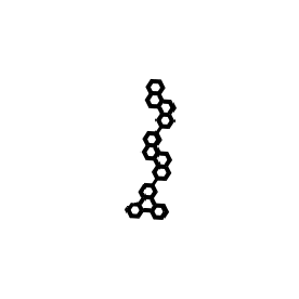 c1ccc2c(c1)ccc1c3cc(-c4ccc5ccc6c7cc(-c8ccc9c%10ccccc%10c%10ccccc%10c9c8)ccc7ccc6c5c4)ccc3ccc21